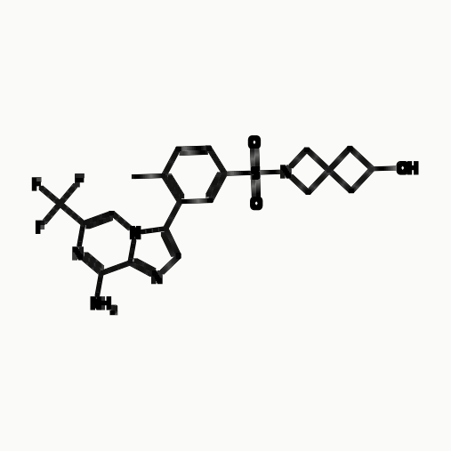 Cc1ccc(S(=O)(=O)N2CC3(CC(O)C3)C2)cc1-c1cnc2c(N)nc(C(F)(F)F)cn12